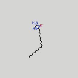 CCCCCCCC/C=C\CCCCCCCCC1=[N+]([O-])C(N)CN1